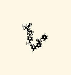 Cc1cc(CNCC2CCN(c3nccc(/C=C4\SC(=O)NC4=O)n3)CC2)nc(-c2cccc(C(=O)NCc3ccccc3)c2)c1